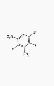 Cc1c(F)c([N+](=O)[O-])cc(Br)c1I